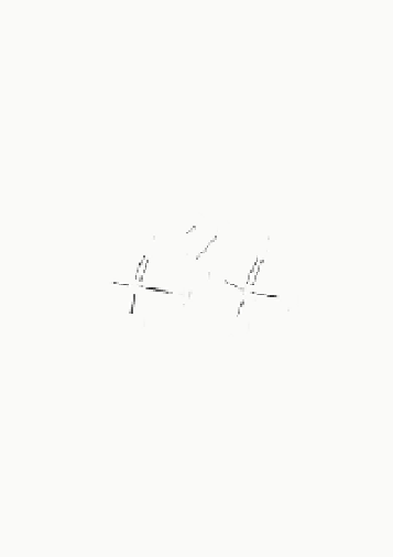 CC.CC.O=P(O)(O)O.O=P(O)(O)O